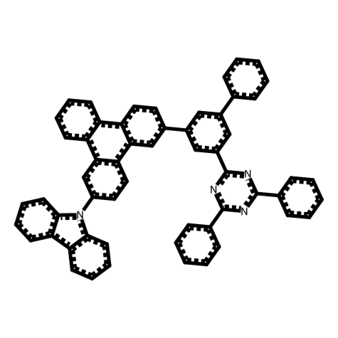 c1ccc(-c2cc(-c3ccc4c5ccccc5c5cc(-n6c7ccccc7c7ccccc76)ccc5c4c3)cc(-c3nc(-c4ccccc4)nc(-c4ccccc4)n3)c2)cc1